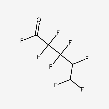 O=C(F)C(F)(F)C(F)(F)C(F)C(F)F